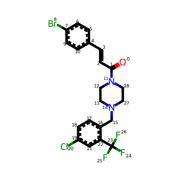 O=C(/C=C/c1ccc(Br)cc1)N1CCN(Cc2ccc(Cl)cc2C(F)(F)F)CC1